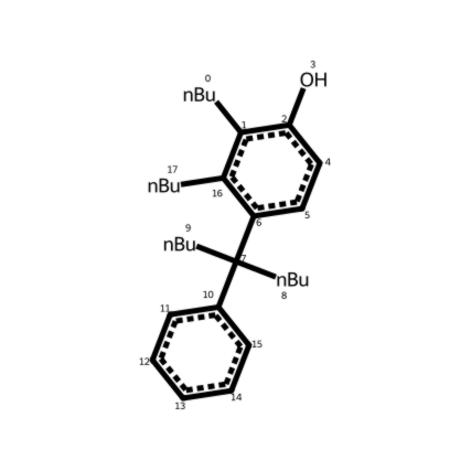 CCCCc1c(O)ccc(C(CCCC)(CCCC)c2ccccc2)c1CCCC